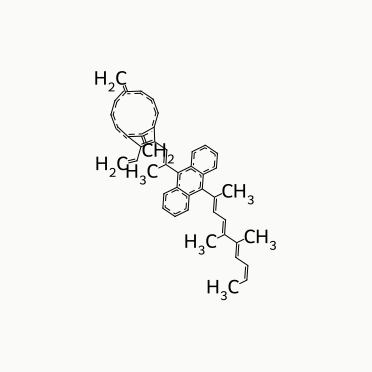 C=CC1=C(/C=C(\C)c2c3ccccc3c(/C(C)=C/C=C(C)/C(C)=C/C=C\C)c3ccccc23)c2cccc(=C)cccc1c2=C